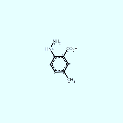 Cc1ccc(NN)c(C(=O)O)c1